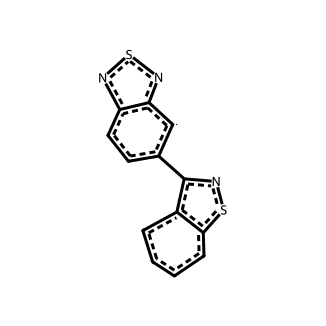 [c]1c(-c2nsc3ccccc23)ccc2nsnc12